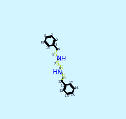 c1ccc(CSNSSNSCc2ccccc2)cc1